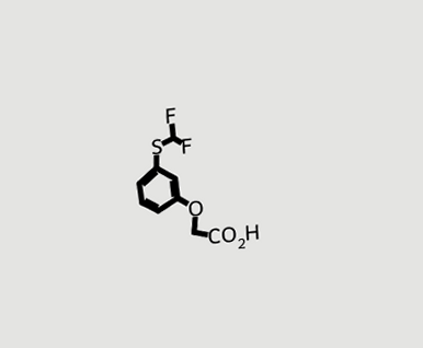 O=C(O)COc1cccc(SC(F)F)c1